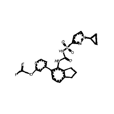 O=C(Nc1c(-c2ccnc(OC(F)F)c2)ccc2c1CCC2)NS(=O)(=O)c1ccn(C2CC2)n1